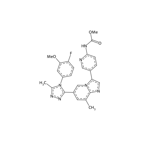 COC(=O)Nc1ccc(-c2cnc3c(C)cc(-c4nnc(C)n4-c4ccc(F)c(OC)c4)cn23)cn1